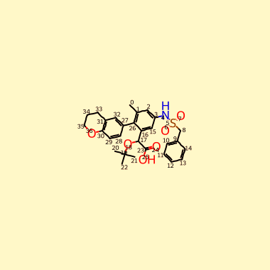 Cc1cc(NS(=O)(=O)Cc2ccccc2)cc(C(OC(C)(C)C)C(=O)O)c1-c1ccc2c(c1)CCCO2